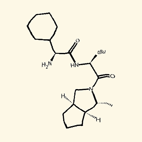 C[C@@H]1[C@H]2CCC[C@H]2CN1C(=O)[C@@H](NC(=O)[C@@H](N)C1CCCCC1)C(C)(C)C